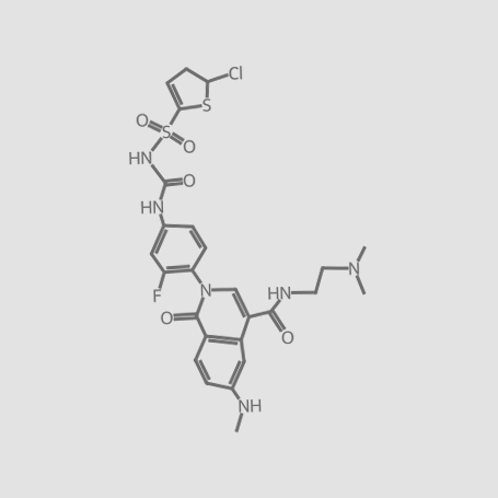 CNc1ccc2c(=O)n(-c3ccc(NC(=O)NS(=O)(=O)C4=CCC(Cl)S4)cc3F)cc(C(=O)NCCN(C)C)c2c1